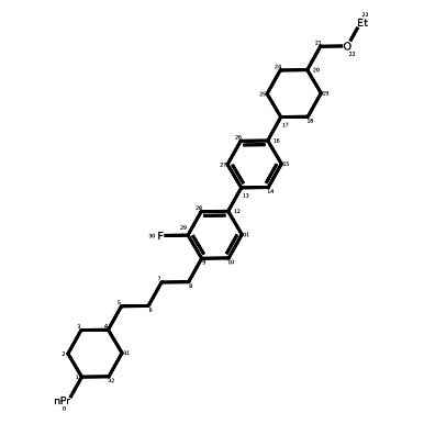 CCCC1CCC(CCCCc2ccc(-c3ccc(C4CCC(COCC)CC4)cc3)cc2F)CC1